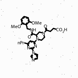 CCCc1cc(N2CCN(C(=O)CCC(=O)O)CC2C(=O)NCc2c(OC)cccc2OC)nc(-n2ccnc2)n1